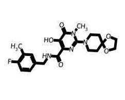 Cc1cc(CNC(=O)c2nc(N3CCC4(CC3)OCCO4)n(C)c(=O)c2O)ccc1F